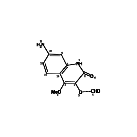 COc1c(OC=O)c(=O)[nH]c2cc(N)ccc12